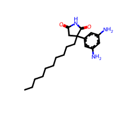 CCCCCCCCCCC1(c2cc(N)cc(N)c2)CC(=O)NC1=O